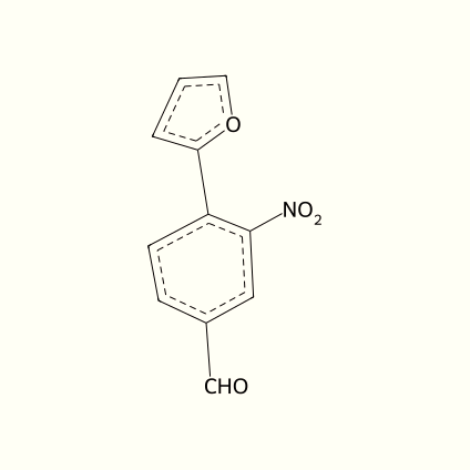 O=Cc1ccc(-c2ccco2)c([N+](=O)[O-])c1